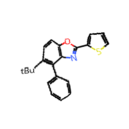 CC(C)(C)c1ccc2oc(-c3cccs3)nc2c1-c1ccccc1